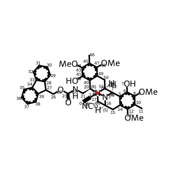 C#CCN1[C@@H]2c3c(O)c(OC)c(C)c(OC)c3C[C@H]1[C@H](C#N)N1[C@@H](CNC(=O)OCC3c4ccccc4-c4ccccc43)c3c(O)c(OC)c(C)c(OC)c3C[C@@H]21